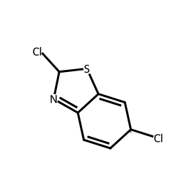 Cl[C]1C=CC2=NC(Cl)SC2=C1